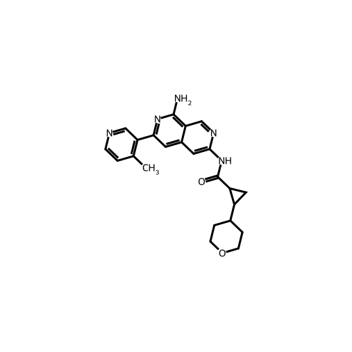 Cc1ccncc1-c1cc2cc(NC(=O)C3CC3C3CCOCC3)ncc2c(N)n1